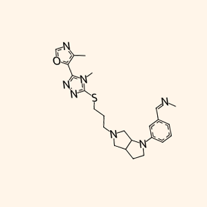 C/N=C\c1cccc(N2CCC3CN(CCCSc4nnc(-c5ocnc5C)n4C)CC32)c1